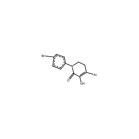 CC(=O)C1=C(O)C(=O)N(c2ccc(Br)cc2)CC1